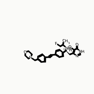 CC(CF)N[C@@H](Cc1nc[nH]c(=O)c1O)c1ccc(C#Cc2ccc(CN3CCOCC3)cc2)cc1